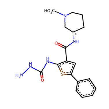 NNC(=O)Nc1sc(-c2ccccc2)cc1C(=O)N[C@H]1CCCN(C(=O)O)C1